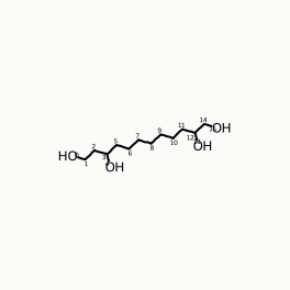 OCCC(O)CCCCCCCC(O)CO